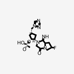 CS(=O)(=O)O.N=C1C2CC(F)CN2C(=O)CN1[C@@H]1CC[C@H](Cn2cncn2)C1